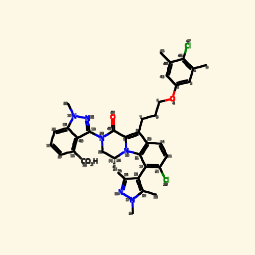 Cc1cc(OCCCc2c3n(c4c(-c5c(C)nn(C)c5C)c(Cl)ccc24)[C@H](C)CN(c2nn(C)c4cccc(C(=O)O)c24)C3=O)cc(C)c1Cl